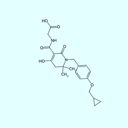 CC1(C)CC(O)=C(C(=O)NCC(=O)O)C(=O)N1Cc1ccc(OCC2CC2)cc1